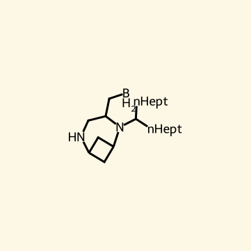 BCC1CNC2CC(C2)N1C(CCCCCCC)CCCCCCC